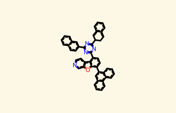 C1=c2ccccc2=CC(c2nc(-c3ccc4ccccc4c3)nc(-c3ccc(-c4cc5ccccc5c5ccccc45)c4oc5cnccc5c34)n2)C1